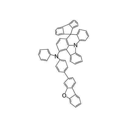 c1ccc(N(c2ccc(-c3ccc4c(c3)oc3ccccc34)cc2)c2ccc3c4c2c2ccccc2n4-c2ccccc2C32c3ccccc3-c3ccccc32)cc1